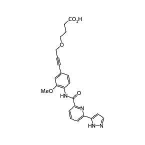 COc1cc(C#CCOCCCC(=O)O)ccc1NC(=O)c1cccc(-c2ccn[nH]2)n1